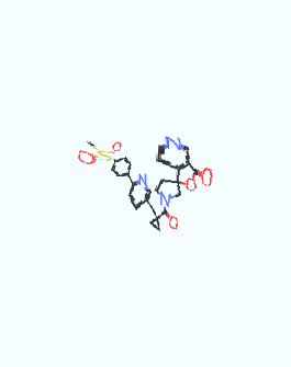 CS(=O)(=O)c1ccc(-c2ccc(C3(C(=O)N4CCC5(C4)OC(=O)c4cnccc45)CC3)cn2)cc1